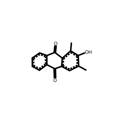 Cc1cc2c(c(C)c1O)C(=O)c1ccccc1C2=O